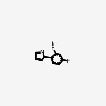 Fc1ccc(C2C=CC=N2)c(F)c1.[Ir]